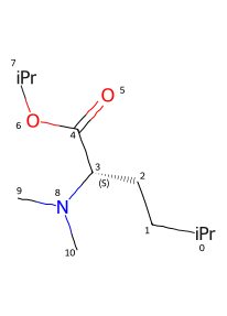 CC(C)CC[C@@H](C(=O)OC(C)C)N(C)C